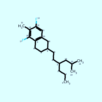 CCCC(CCC1CCc2c(cc(F)c(C)c2F)C1)CC(C)C